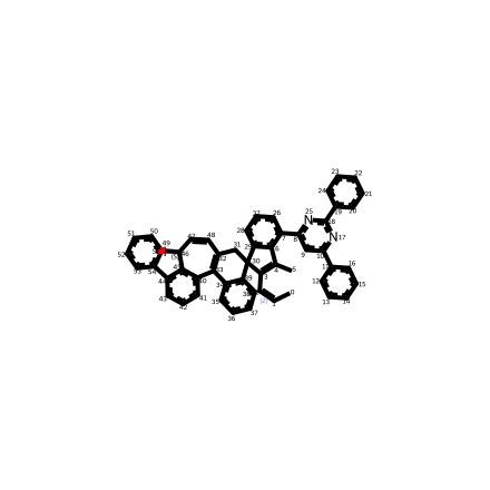 C/C=C\C1=C(C)c2c(-c3cc(-c4ccccc4)nc(-c4ccccc4)n3)cccc2C12CC1=C(c3ccccc32)c2cccc3c2[C@@H](C=C1)c1ccccc1-3